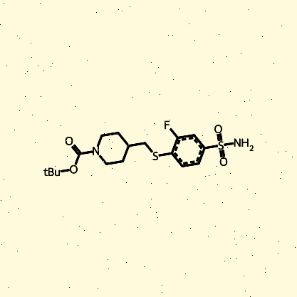 CC(C)(C)OC(=O)N1CCC(CSc2ccc(S(N)(=O)=O)cc2F)CC1